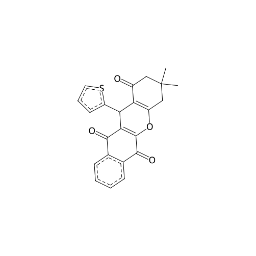 CC1(C)CC(=O)C2=C(C1)OC1=C(C(=O)c3ccccc3C1=O)C2c1cccs1